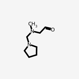 CN(CC=O)CN1CCCC1